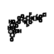 COc1c(N2CCN(C(=O)OCCl)C(C)C2)c(F)cc2c(=O)c(C(=O)OCC(=O)[C@@]3(O)CC[C@H]4[C@@H]5CCC6=CC(=O)C=C[C@]6(C)[C@H]5[C@@H](O)C[C@@]43C)cn(C3CC3)c12